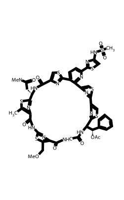 CNC(=O)C[C@@H]1NC(=O)c2csc(n2)-c2ccc(-c3nc(NS(C)(=O)=O)cs3)nc2-c2csc(n2)-c2csc(n2)C([C@@H](OC(C)=O)c2ccccc2)NC(=O)CNC(=O)c2nc(sc2COC)NC(=O)c2nc1sc2C